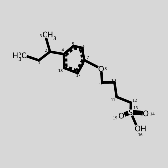 CCC(C)c1ccc(OCCCCS(=O)(=O)O)cc1